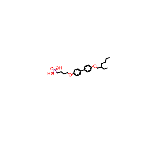 CCCCC(CC)COc1ccc(-c2ccc(OCCCCP(=O)(O)O)cc2)cc1